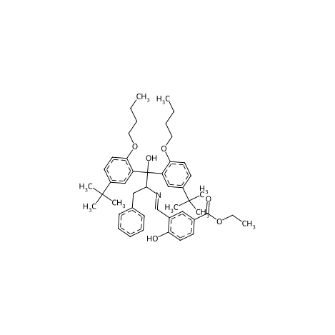 CCCCOc1ccc(C(C)(C)C)cc1C(O)(c1cc(C(C)(C)C)ccc1OCCCC)C(Cc1ccccc1)N=Cc1cc(C(=O)OCC)ccc1O